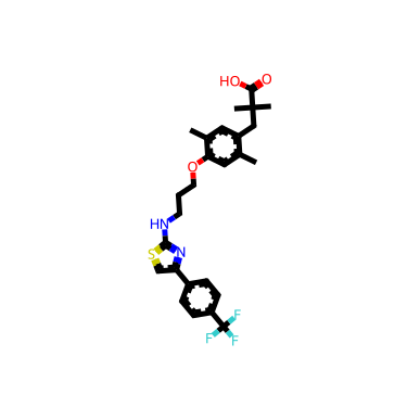 Cc1cc(OCCCNc2nc(-c3ccc(C(F)(F)F)cc3)cs2)c(C)cc1CC(C)(C)C(=O)O